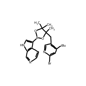 CC(C)(C)c1cc(Br)ncc1CC1(C)OB(c2c[nH]c3cnccc23)OC1(C)C